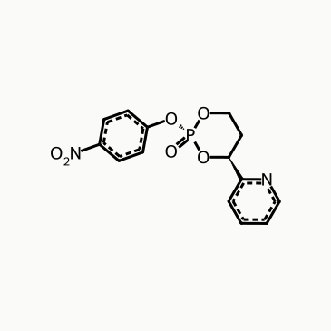 O=[N+]([O-])c1ccc(O[P@]2(=O)OCC[C@@H](c3ccccn3)O2)cc1